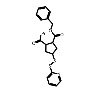 CC(C)C(=O)C1CC(SSc2ccccn2)CC1C(=O)OCc1ccccc1